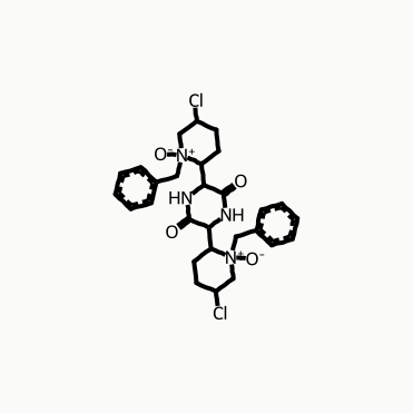 O=C1NC(C2CCC(Cl)C[N+]2([O-])Cc2ccccc2)C(=O)NC1C1CCC(Cl)C[N+]1([O-])Cc1ccccc1